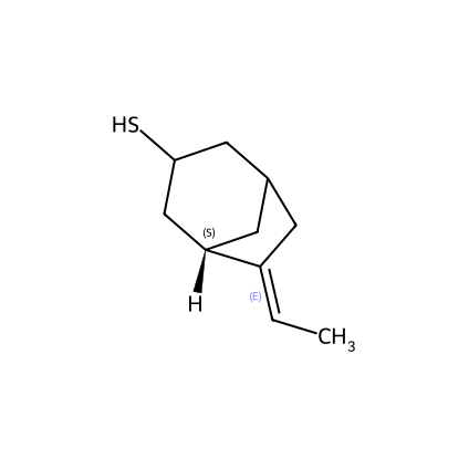 C/C=C1\CC2CC(S)C[C@@H]1C2